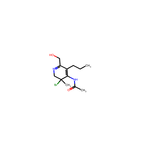 CCCC1=C(NC(C)=O)C(C)(Br)CN=C1CO